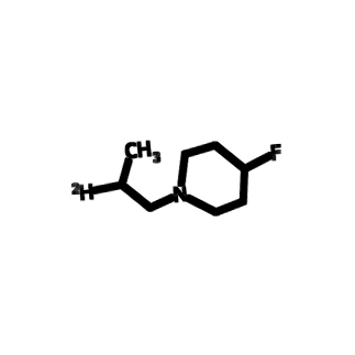 [2H]C(C)CN1CCC(F)CC1